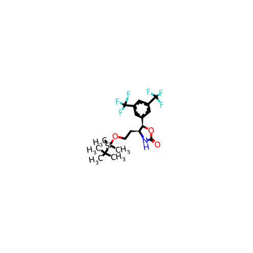 CC(C)(C)[Si](C)(C)OCC[C@@H]1NC(=O)O[C@@H]1c1cc(C(F)(F)F)cc(C(F)(F)F)c1